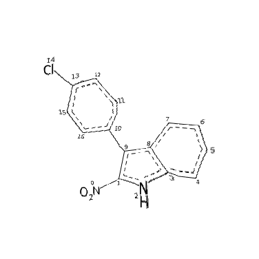 O=[N+]([O-])c1[nH]c2ccccc2c1-c1ccc(Cl)cc1